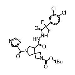 CC(C)(C)OC(=O)N1CC2(C1)CN(C(=O)c1cncs1)CC2C(=O)NNC(=O)C(F)(F)c1ccc(Cl)c(Cl)c1